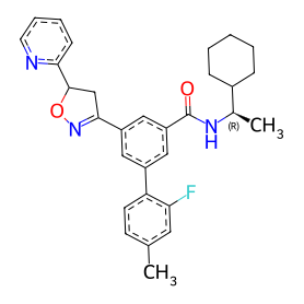 Cc1ccc(-c2cc(C(=O)N[C@H](C)C3CCCCC3)cc(C3=NOC(c4ccccn4)C3)c2)c(F)c1